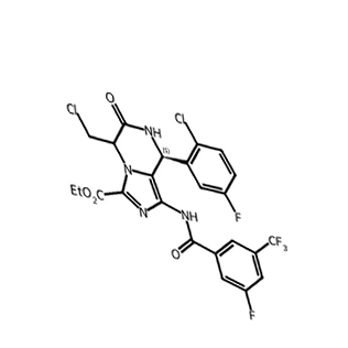 CCOC(=O)c1nc(NC(=O)c2cc(F)cc(C(F)(F)F)c2)c2n1C(CCl)C(=O)N[C@H]2c1cc(F)ccc1Cl